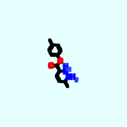 Cc1ccc(OC(=O)C(N)/C=C\C(C)N)cc1